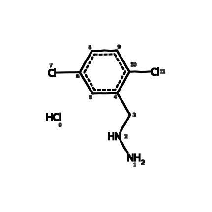 Cl.NNCc1cc(Cl)ccc1Cl